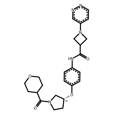 O=C(Nc1ccc(O[C@@H]2CCN(C(=O)C3CCOCC3)C2)cc1)C1CN(c2ccnnc2)C1